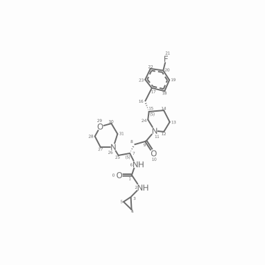 O=C(NC1CC1)N[C@@H](CC(=O)N1CCC[C@@H](Cc2ccc(F)cc2)C1)CN1CCOCC1